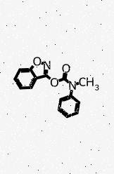 CN(C(=O)Oc1noc2ccccc12)c1ccccc1